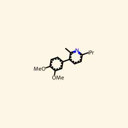 COc1ccc(-c2ccc(C(C)C)nc2C)cc1OC